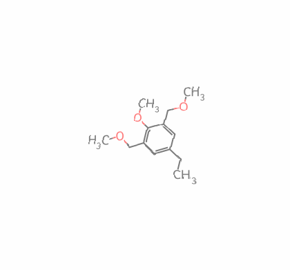 CCc1cc(COC)c(OC)c(COC)c1